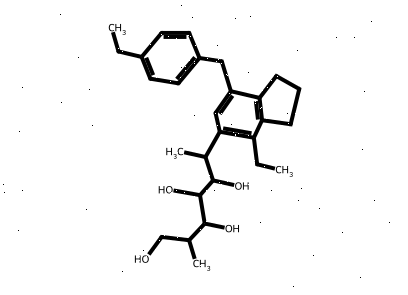 CCc1ccc(Cc2cc(C(C)C(O)C(O)C(O)C(C)CO)c(CC)c3c2CCC3)cc1